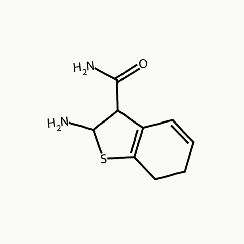 NC(=O)C1C2=C(CCC=C2)SC1N